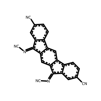 N#C/N=c1/c2cc(C#N)ccc2c2cc3c(cc12)/c(=N/C#N)c1cc(C#N)ccc13